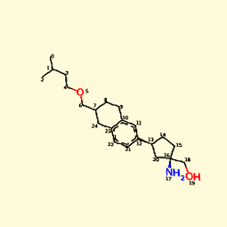 CC(C)CCOCC1CCc2cc([C@H]3CC[C@](N)(CO)C3)ccc2C1